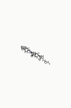 CCCCC(=O)Nc1ccc(C(=O)N/N=C/c2ccc(OC)cc2)cc1